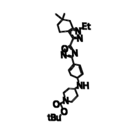 CCn1nc(-c2nc(C3=CCC(NC4CCN(C(=O)OC(C)(C)C)CC4)C=C3)no2)c2c1CC(C)(C)CC2